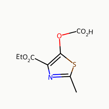 CCOC(=O)c1nc(C)sc1OC(=O)O